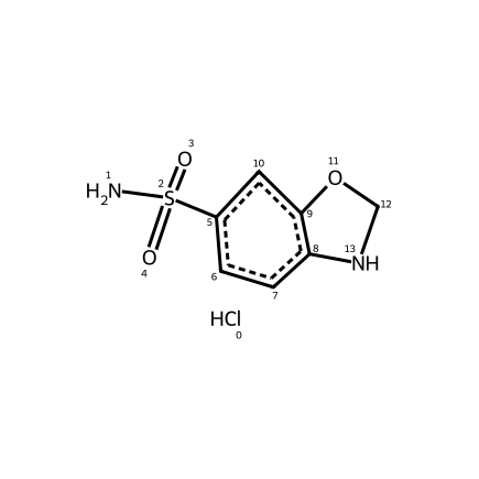 Cl.NS(=O)(=O)c1ccc2c(c1)OCN2